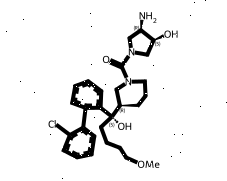 COCCCC[C@@](O)(c1ccccc1-c1ccccc1Cl)[C@@H]1CCCN(C(=O)N2C[C@@H](N)[C@@H](O)C2)C1